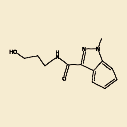 Cn1nc(C(=O)NCCCO)c2ccccc21